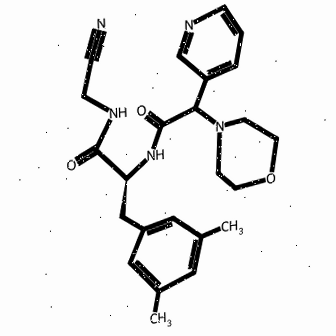 Cc1cc(C)cc(C[C@H](NC(=O)C(c2cccnc2)N2CCOCC2)C(=O)NCC#N)c1